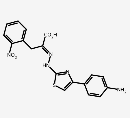 Nc1ccc(-c2csc(NN=C(Cc3ccccc3[N+](=O)[O-])C(=O)O)n2)cc1